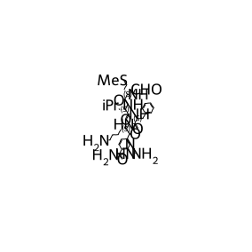 CSCC[C@H](NC=O)C(=O)N[C@@H](CC(C)C)C(=O)N[C@@H](Cc1ccccc1)C(=O)N[C@@H](CCCCN)C(=O)c1ccc(C(N)=O)c(NN)n1